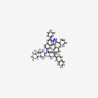 CC1(C)c2ccccc2-c2ccc(N(c3ccc(-c4ccc5ccccc5c4)cc3)c3ccc4cc(-c5ccccc5)n5nc(-c6ccccc6)c(-c6ccccc6)c5c4c3)cc21